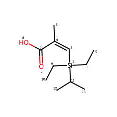 CC[Si](C=C(C)C(=O)O)(CC)C(C)C